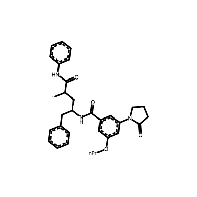 [CH2]C(C[C@H](Cc1ccccc1)NC(=O)c1cc(OCCC)cc(N2CCCC2=O)c1)C(=O)Nc1ccccc1